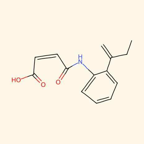 C=C(CC)c1ccccc1NC(=O)/C=C\C(=O)O